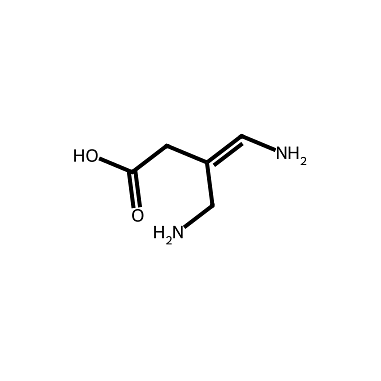 NC=C(CN)CC(=O)O